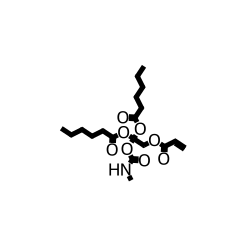 C=CC(=O)OCC(OC(=O)CCCCC)(OC(=O)CCCCC)OC(=O)NC